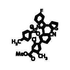 COC(=O)c1cc(Cl)c(-c2cccc(-c3c(-c4ccsc4C#N)c4cc(F)ccc4n3S(=O)(=O)c3ccc(C)cc3)c2)cc1C